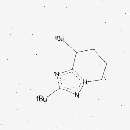 CC(C)(C)c1nc2n(n1)CCCC2C(C)(C)C